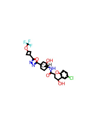 O=C(NC12CCC(c3nnc(C4CC(OC(F)(F)F)C4)o3)(CC1)C[C@@H]2O)C1CC(O)c2cc(Cl)ccc2O1